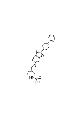 O=C(O)NC/C(=C\F)COc1ccc2nc(C3CCC(c4ccccc4)CC3)oc2c1